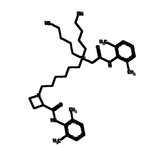 Cc1cccc(C)c1NC(=O)C[N+](CCCCO)(CCCCS)CCCCCCN1CCC1C(=O)Nc1c(C)cccc1C